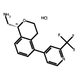 Cl.NC[C@@H]1OCCc2c(-c3ccnc(C(F)(F)F)c3)cccc21